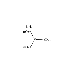 CCCCCCCCP(CCCCCCCC)CCCCCCCC.N